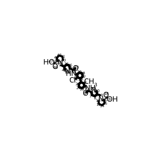 Cc1c(NC(=O)c2ccc(CN3CCCC[C@H]3C(=O)O)cn2)cccc1-c1cccc(NC(=O)c2ccc(CN3CCCC[C@H]3C(=O)O)cn2)c1Cl